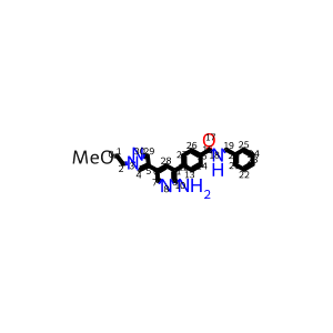 COCCn1cc(-c2cnc(N)c(-c3ccc(C(=O)NCc4ccccc4)cc3)c2)cn1